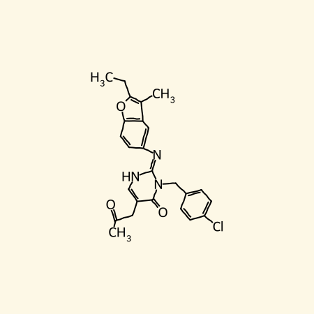 CCc1oc2ccc(/N=c3\[nH]cc(CC(C)=O)c(=O)n3Cc3ccc(Cl)cc3)cc2c1C